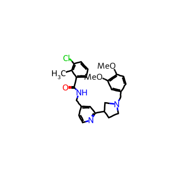 COc1ccc(CN2CCC(c3cc(CNC(=O)c4cccc(Cl)c4C)ccn3)C2)cc1OC